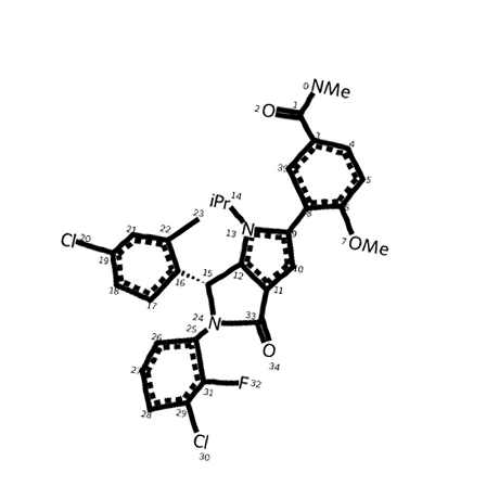 CNC(=O)c1ccc(OC)c(-c2cc3c(n2C(C)C)[C@@H](c2ccc(Cl)cc2C)N(c2cccc(Cl)c2F)C3=O)c1